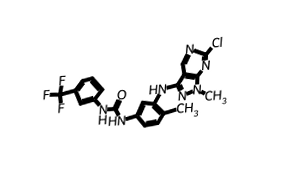 Cc1ccc(NC(=O)Nc2cccc(C(F)(F)F)c2)cc1Nc1nn(C)c2nc(Cl)ncc12